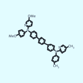 COc1ccc(N(c2ccc(-c3ccc(-c4ccc(N(c5ccc(C)cc5)c5ccc(C)cn5)cc4)cc3)cc2)c2ccc(OC)cn2)cc1